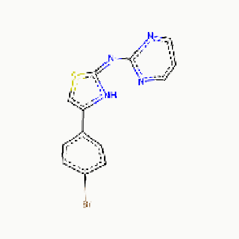 Brc1ccc(-c2csc(=Nc3ncccn3)[nH]2)cc1